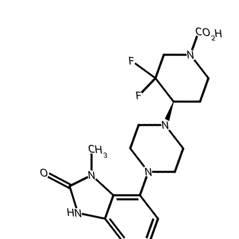 Cn1c(=O)[nH]c2cccc(N3CCN([C@@H]4CCN(C(=O)O)CC4(F)F)CC3)c21